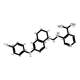 OC(O)c1ccncc1NC[C@@H]1CCCc2cc(Sc3ccc(F)cc3)ccc21